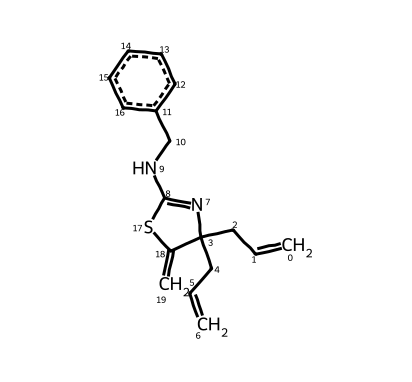 C=CCC1(CC=C)N=C(NCc2ccccc2)SC1=C